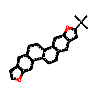 C[Si](C)(C)c1cc2cc3ccc4c5cc6occc6cc5ccc4c3cc2o1